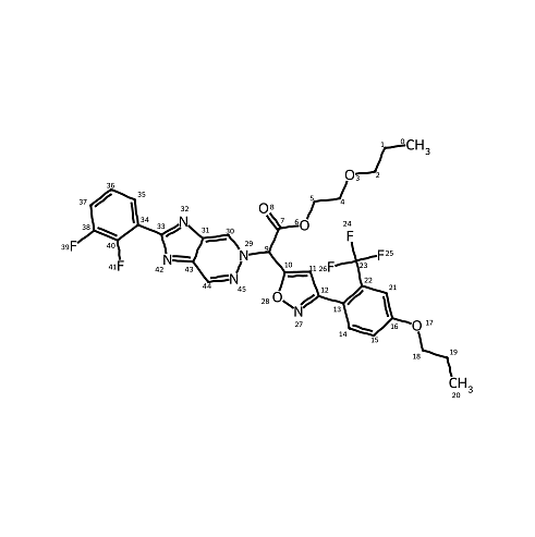 CCCOCCOC(=O)C(c1cc(-c2ccc(OCCC)cc2C(F)(F)F)no1)n1cc2nc(-c3cccc(F)c3F)nc-2cn1